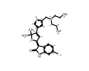 CC1(C)OC(=C2C(=O)Nc3cc(F)ccc32)C=C1c1csc(CN(CCO)CCO)c1